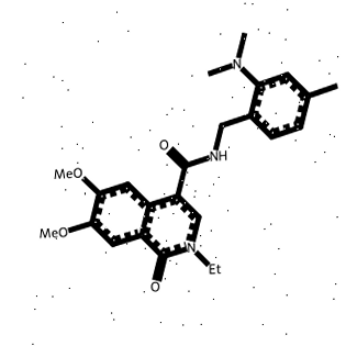 CCn1cc(C(=O)NCc2ccc(C)cc2N(C)C)c2cc(OC)c(OC)cc2c1=O